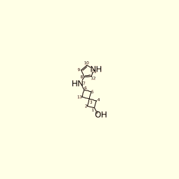 OC1CC2(C1)CC(Nc1cc[nH]c1)C2